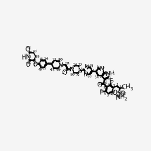 CC(Cc1ccc(F)c(C(=O)c2c[nH]c3ncc(-c4cnc(N5CCN(C(=O)CN6CCC(c7ccc(OC8CCC(=O)NC8=O)cc7)CC6)CC5)nc4)cc23)c1F)S(N)(=O)=O